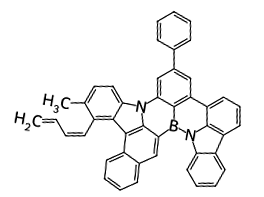 C=C/C=C\c1c(C)ccc2c1c1c3ccccc3cc3c1n2-c1cc(-c2ccccc2)cc2c1B3n1c3ccccc3c3cccc-2c31